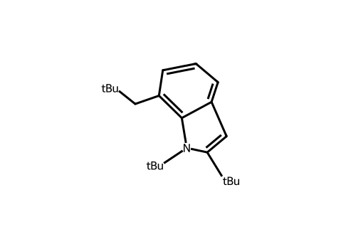 CC(C)(C)Cc1cccc2cc(C(C)(C)C)n(C(C)(C)C)c12